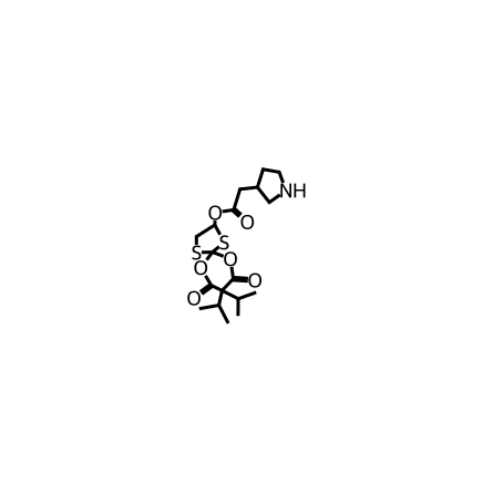 CC(C)C1(C(C)C)C(=O)OC2(OC1=O)SCC(OC(=O)CC1CCNC1)S2